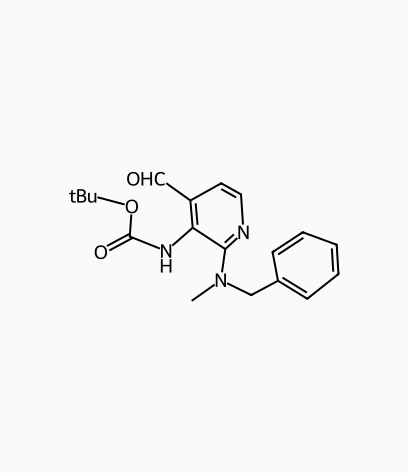 CN(Cc1ccccc1)c1nccc(C=O)c1NC(=O)OC(C)(C)C